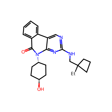 CCC1(CNc2ncc3c4ccccc4c(=O)n([C@H]4CC[C@H](O)CC4)c3n2)CCC1